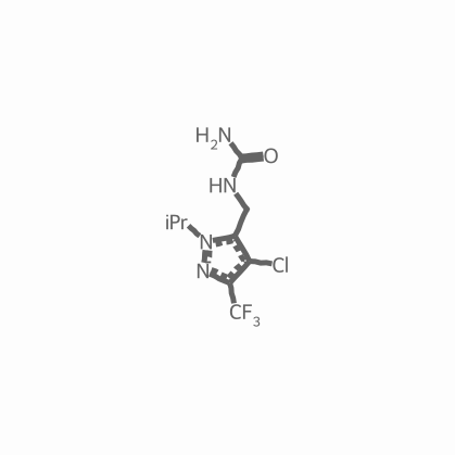 CC(C)n1nc(C(F)(F)F)c(Cl)c1CNC(N)=O